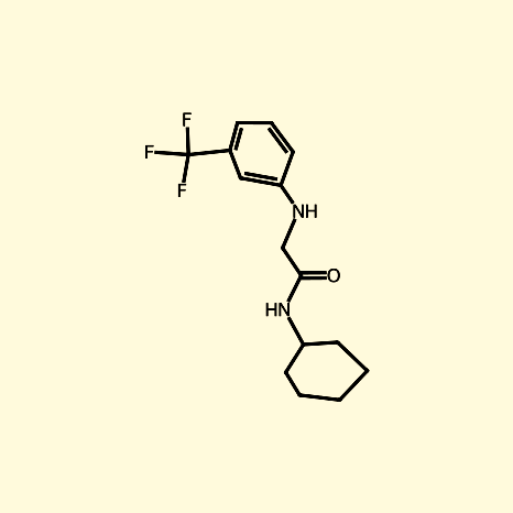 O=C(CNc1cccc(C(F)(F)F)c1)NC1CCCCC1